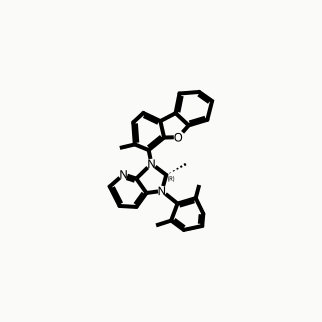 Cc1cccc(C)c1N1c2cccnc2N(c2c(C)ccc3c2oc2ccccc23)[C@@H]1C